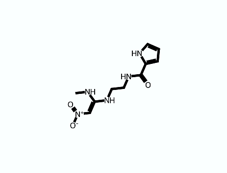 CN/C(=C\[N+](=O)[O-])NCCNC(=O)c1ccc[nH]1